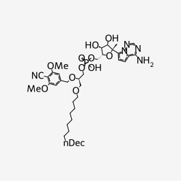 CCCCCCCCCCCCCCCCCCOC[C@H](COP(=O)(O)OC[C@H]1O[C@@](C)(c2ccc3c(N)ncnn23)[C@H](O)[C@@H]1O)OCc1cc(OC)c(C#N)c(OC)c1